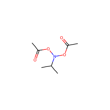 CC(=O)ON(OC(C)=O)C(C)C